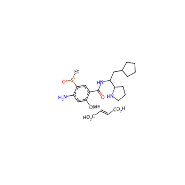 CC[S+]([O-])c1cc(C(=O)NC(CC2CCCC2)C2CCCN2)c(OC)cc1N.O=C(O)/C=C/C(=O)O